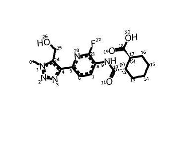 Cn1nnc(-c2ccc(NC(=O)[C@H]3CCCC[C@@H]3C(=O)O)c(F)n2)c1CO